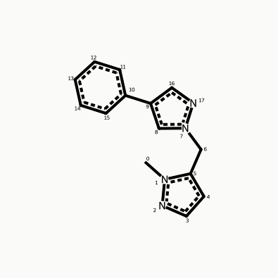 Cn1nccc1Cn1cc(-c2ccccc2)cn1